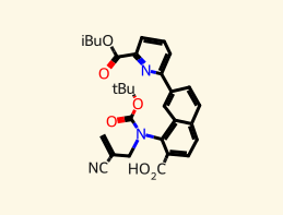 C=C(C#N)CN(C(=O)OC(C)(C)C)c1c(C(=O)O)ccc2ccc(-c3cccc(C(=O)OCC(C)C)n3)cc12